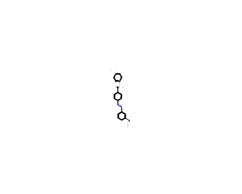 COc1ccc2nc(-c3ccc(/C=C/c4cccc(CF)c4)cc3)sc2c1